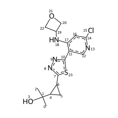 CC(C)(O)C1CC1c1nnc(-c2cnc(Cl)cc2NC2COC2)s1